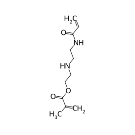 C=CC(=O)NCCNCCOC(=O)C(=C)C